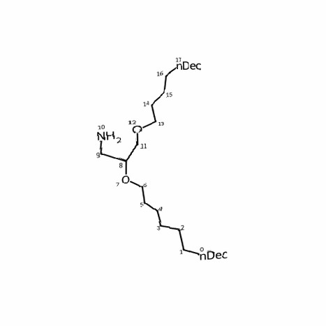 CCCCCCCCCCCCCCCCOC(CN)COCCCCCCCCCCCCCC